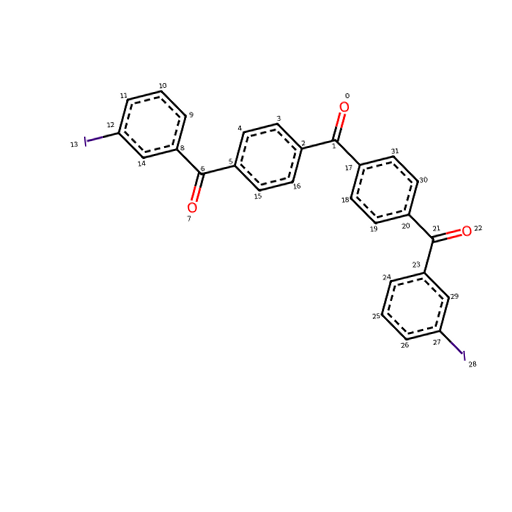 O=C(c1ccc(C(=O)c2cccc(I)c2)cc1)c1ccc(C(=O)c2cccc(I)c2)cc1